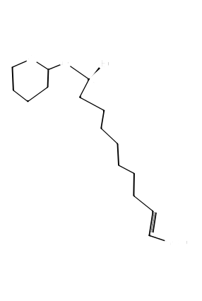 CCCCCCCCC=CCCCCCCC[C@H](CC)OC1CCCCO1